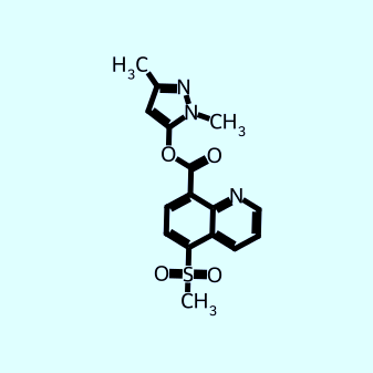 Cc1cc(OC(=O)c2ccc(S(C)(=O)=O)c3cccnc23)n(C)n1